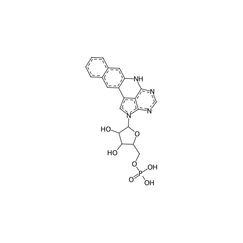 O=P(O)(O)OCC1OC(n2cc3c4c(ncnc42)Nc2cc4ccccc4cc2-3)C(O)C1O